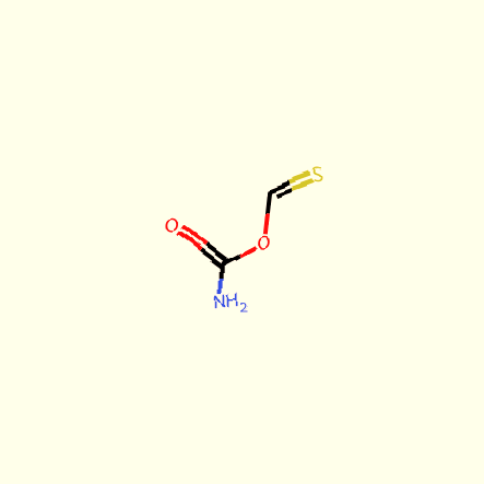 NC(=O)OC=S